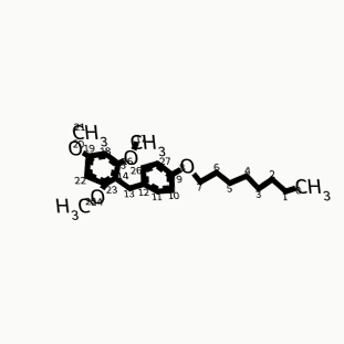 CCCCCCCCOc1ccc(Cc2c(OC)cc(OC)cc2OC)cc1